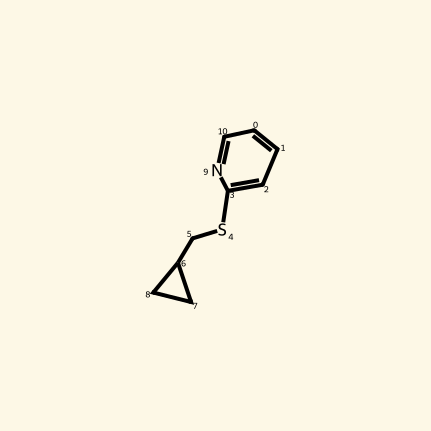 c1ccc(SCC2CC2)nc1